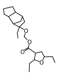 CCC1CC(C(=O)OCOC2(CC)CC3CC2C2CCCC32)C(CC)O1